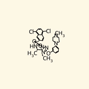 CCn1c(Oc2cccc(N3CCN(C)CC3)c2)nnc1[C@@H](C)NS(=O)(=O)c1ccc2c(Cl)ccc(Cl)c2c1